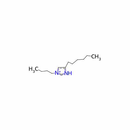 CCCCCCc1c[n+](CCCC)c[nH]1